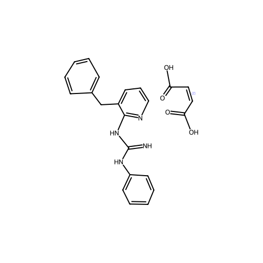 N=C(Nc1ccccc1)Nc1ncccc1Cc1ccccc1.O=C(O)/C=C\C(=O)O